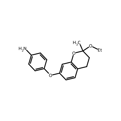 CCOC1(C)CCc2ccc(Oc3ccc(N)cc3)cc2O1